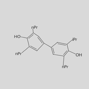 CCCc1cc(-c2cc(CCC)c(O)c(C(C)C)c2)cc(CCC)c1O